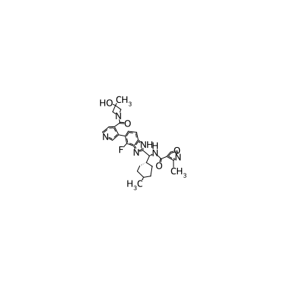 Cc1nocc1C(=O)N[C@H](c1nc2c(F)c(-c3cnccc3C(=O)N3CC(C)(O)C3)ccc2[nH]1)[C@H]1CC[C@H](C)CC1